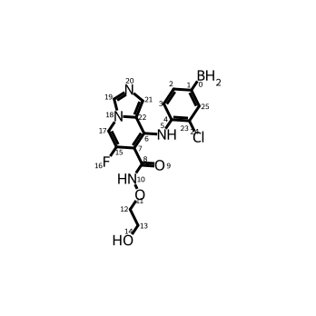 Bc1ccc(Nc2c(C(=O)NOCCO)c(F)cn3cncc23)c(Cl)c1